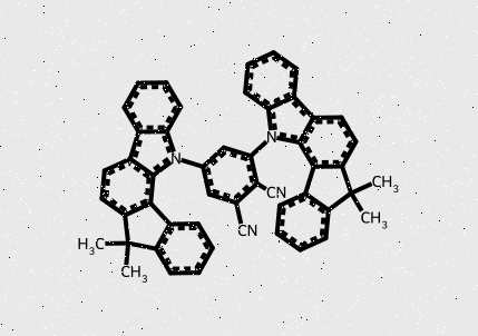 CC1(C)c2ccccc2-c2c1ccc1c3ccccc3n(-c3cc(C#N)c(C#N)c(-n4c5ccccc5c5ccc6c(c54)-c4ccccc4C6(C)C)c3)c21